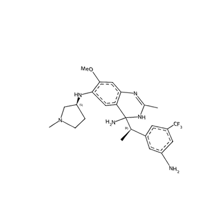 COc1cc2c(cc1N[C@H]1CCN(C)C1)C(N)([C@H](C)c1cc(N)cc(C(F)(F)F)c1)NC(C)=N2